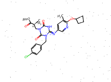 COC(=O)[C@@H](C)Cn1c(=O)[nH]/c(=N\c2cnc(OC3CCC3)c(C)c2)n(Cc2ccc(Cl)cc2)c1=O